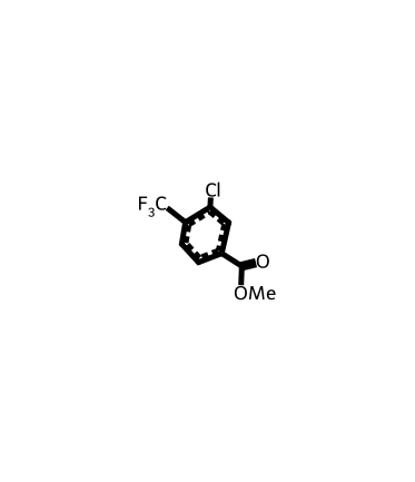 COC(=O)c1ccc(C(F)(F)F)c(Cl)c1